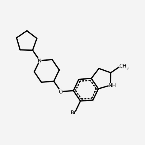 CC1Cc2cc(OC3CCN(C4CCCC4)CC3)c(Br)cc2N1